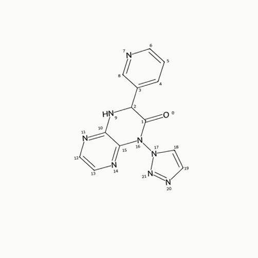 O=C1C(c2cccnc2)Nc2nccnc2N1n1ccnn1